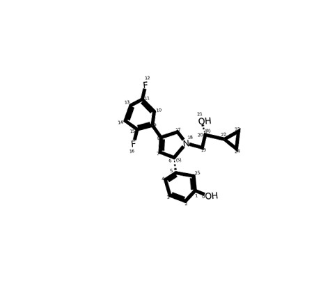 Oc1cccc([C@@H]2C=C(c3cc(F)ccc3F)CN2C[C@H](O)C2CC2)c1